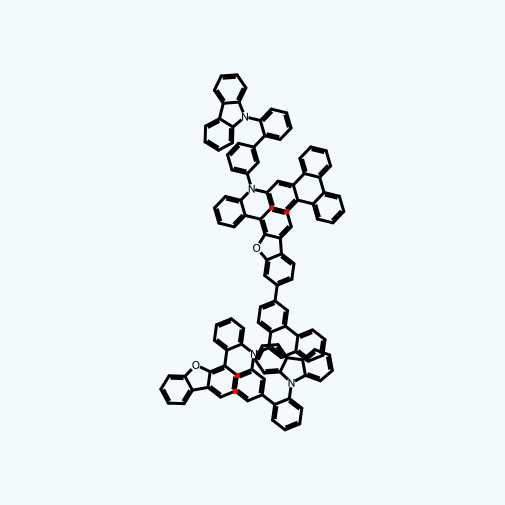 c1cc(-c2ccccc2-n2c3ccccc3c3ccccc32)cc(N(c2ccc3c4ccccc4c4ccccc4c3c2)c2ccccc2-c2cccc3c2oc2cc(-c4ccc5c(N(c6cccc(-c7ccccc7-n7c8ccccc8c8ccccc87)c6)c6ccccc6-c6cccc7c6oc6ccccc67)cc6ccccc6c5c4)ccc23)c1